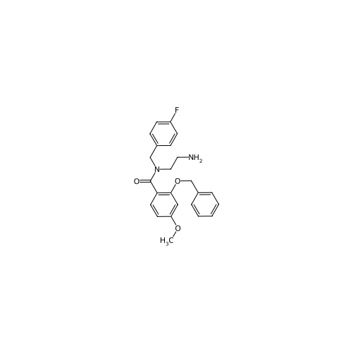 COc1ccc(C(=O)N(CCN)Cc2ccc(F)cc2)c(OCc2ccccc2)c1